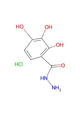 Cl.NNC(=O)c1ccc(O)c(O)c1O